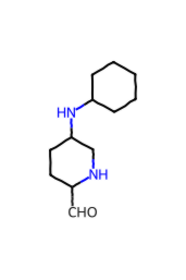 O=CC1CCC(NC2CCCCC2)CN1